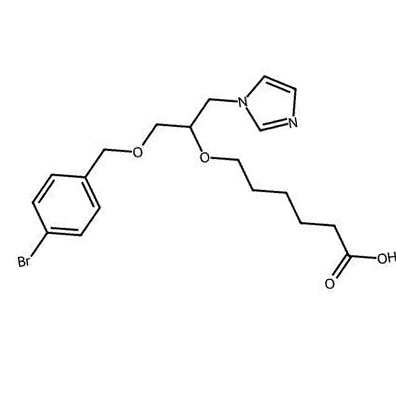 O=C(O)CCCCCOC(COCc1ccc(Br)cc1)Cn1ccnc1